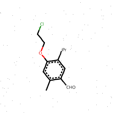 Cc1cc(OCCCl)c(C(C)C)cc1C=O